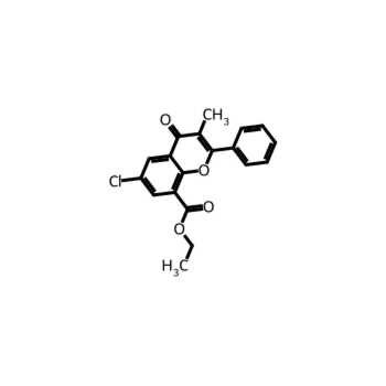 CCOC(=O)c1cc(Cl)cc2c(=O)c(C)c(-c3ccccc3)oc12